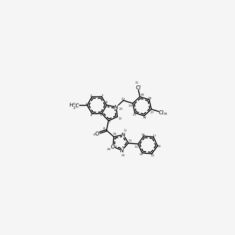 Cc1ccc2c(c1)c(C(=O)c1nc(-c3ccccc3)no1)cn2Cc1ccc(Cl)cc1Cl